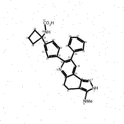 CNc1[nH]nc2c1CCc1nc(-c3ccc(C4(NC(=O)O)CCC4)cc3)c(-c3ccccc3)cc1-2